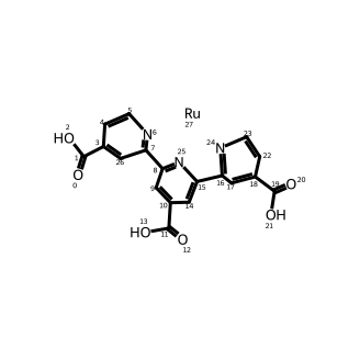 O=C(O)c1ccnc(-c2cc(C(=O)O)cc(-c3cc(C(=O)O)ccn3)n2)c1.[Ru]